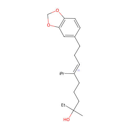 CCC(C)(O)CCC/C(=C/CCc1ccc2c(c1)OCO2)C(C)C